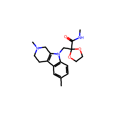 CNC(=O)C1(Cn2c3c(c4cc(C)ccc42)CCN(C)C3)OCCO1